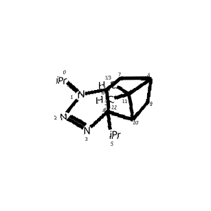 CC(C)N1N=NC2(C(C)C)C1CC1CC2C1(C)C